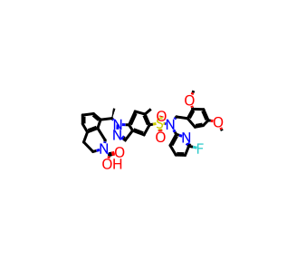 COc1ccc(CN(c2cccc(F)n2)S(=O)(=O)c2cc3cnn([C@H](C)c4cccc5c4CN(C(=O)O)CC5)c3cc2C)c(OC)c1